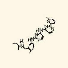 C=C(CC)NCc1cc(Nc2nccc(Nc3ccnc(-c4cccc(C)n4)n3)n2)ccc1C